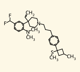 C=CC1(c2cc(C(F)F)ccc2N(C)C)CCN(CCCc2ccc(C3(SC)CC(C)C3)cc2)CC1